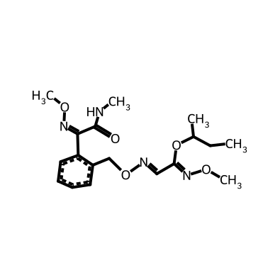 CCC(C)OC(C=NOCc1ccccc1C(=NOC)C(=O)NC)=NOC